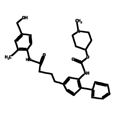 Cc1cc(CO)ccc1NC(=O)CCCc1ccc(-c2ccccc2)c(NC(=O)OC2CCN(C)CC2)c1